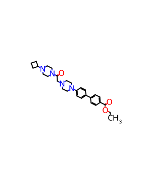 CCOC(=O)c1ccc(-c2ccc(N3CCN(CC(=O)N4CCN(C5CCC5)CC4)CC3)cc2)cc1